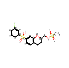 CS(=O)(=O)OC[C@H]1CCc2ccc(S(=O)(=O)C3C=C(F)C=CC3)cc2O1